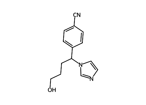 N#Cc1ccc(C(CCCO)n2ccnc2)cc1